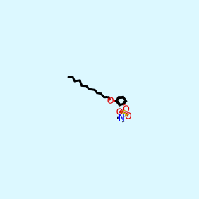 CCCCCCCCCCCCOc1cccc(OS(=O)(=O)N(C)C)c1